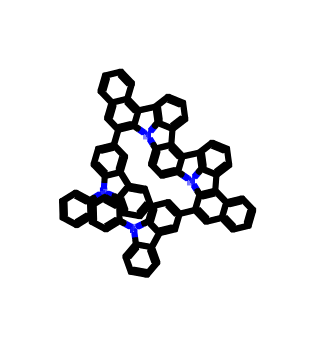 c1ccc(-n2c3ccccc3c3cc(-c4cc5ccccc5c5c6cccc7c8c9c%10cccc%11c%12c%13ccccc%13cc(-c%13ccc%14c(c%13)c%13ccccc%13n%14-c%13ccccc%13)c%12n(c9ccc8n(c45)c76)c%10%11)ccc32)cc1